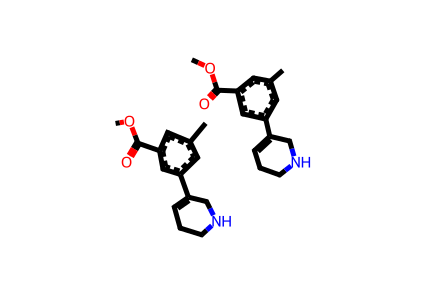 COC(=O)c1cc(C)cc(C2=CCCNC2)c1.COC(=O)c1cc(C)cc(C2=CCCNC2)c1